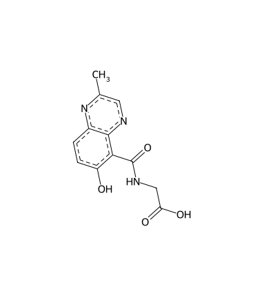 Cc1cnc2c(C(=O)NCC(=O)O)c(O)ccc2n1